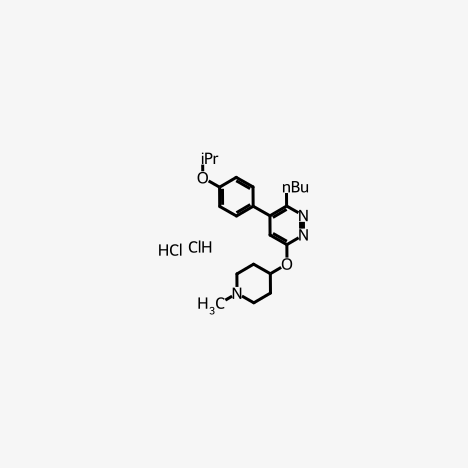 CCCCc1nnc(OC2CCN(C)CC2)cc1-c1ccc(OC(C)C)cc1.Cl.Cl